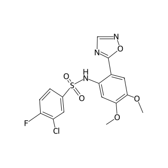 COc1cc(NS(=O)(=O)c2ccc(F)c(Cl)c2)c(-c2ncno2)cc1OC